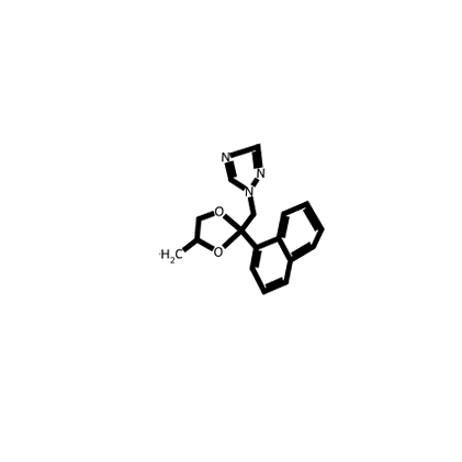 [CH2]C1COC(Cn2cncn2)(c2cccc3ccccc23)O1